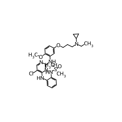 CCN(CCCOc1ccc(OC)c(Nc2ncc(Cl)c(Nc3ccccc3N[SH](C)(C)=O)n2)c1)C1CC1